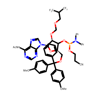 COc1ccc(C(OC[C@H]2O[C@@H](n3cnc4c(NC(C)=O)ncnc43)[C@@H](OCOCC(C(F)(F)F)C(F)(F)F)C2OP(OCCC#N)N(C(C)C)C(C)C)(c2ccccc2)c2ccc(OC)cc2)cc1